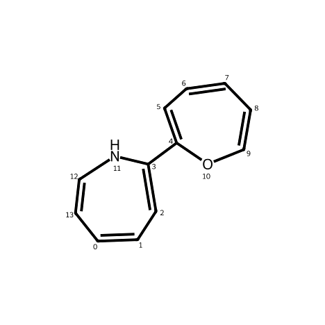 C1=CC=C(C2=CC=CC=CO2)NC=C1